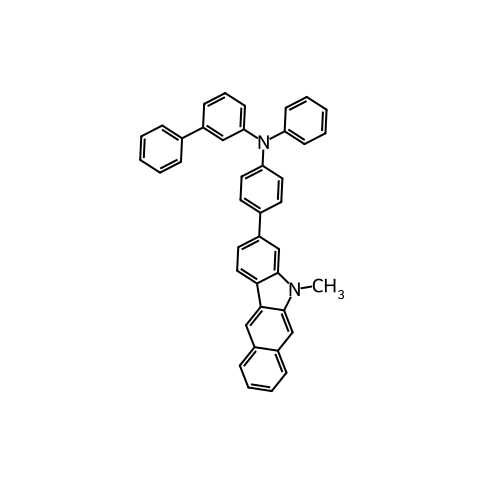 Cn1c2cc(-c3ccc(N(c4ccccc4)c4cccc(-c5ccccc5)c4)cc3)ccc2c2cc3ccccc3cc21